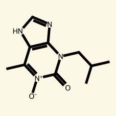 Cc1c2[nH]cnc2n(CC(C)C)c(=O)[n+]1[O-]